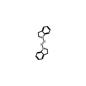 c1ccc2c(c1)CCN2N=NN1CCc2ccccc21